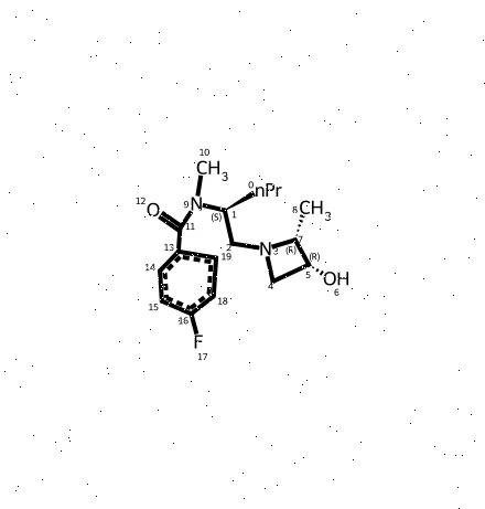 CCC[C@@H](CN1C[C@@H](O)[C@H]1C)N(C)C(=O)c1ccc(F)cc1